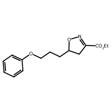 CCOC(=O)C1=NOC(CCCOc2ccccc2)C1